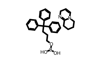 C1=CN2CCCCC2=NC1.OB(O)OCCCC(c1ccccc1)(c1ccccc1)c1ccccc1